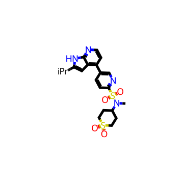 CC(C)c1cc2c(-c3ccc(S(=O)(=O)N(C)C4CCS(=O)(=O)CC4)nc3)ccnc2[nH]1